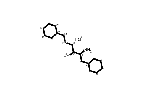 Cl.NC(CC1CCCCC1)C(O)CSCC1CCCCC1